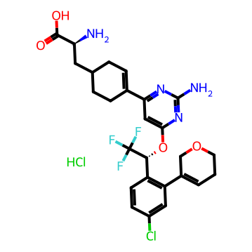 Cl.Nc1nc(O[C@H](c2ccc(Cl)cc2C2=CCCOC2)C(F)(F)F)cc(C2=CCC(C[C@H](N)C(=O)O)CC2)n1